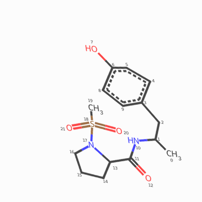 CC(Cc1ccc(O)cc1)NC(=O)C1CCCN1S(C)(=O)=O